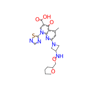 Cc1cc(N2CC(NOCC3CCCCO3)C2)nc2c1c(=O)c(C(=O)O)cn2-c1ncns1